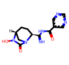 N=C(NC(=O)c1cncnc1)[C@@H]1CC[C@@H]2CN1C(=O)N2O